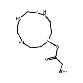 CCCCCCCCCCCC(=O)ON1CCNCCNCCNCC1